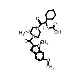 COc1ccc2cc(C(=O)N3CCN(C(=O)C(NC(=O)O)C4CCCCC4)C[C@H]3C)n(C)c2c1